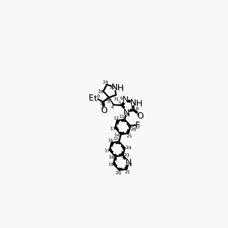 CCC(=O)[C@]1(Cc2n[nH]c(=O)n2-c2ccc(-c3ccc4cccnc4c3)cc2F)CCNC1